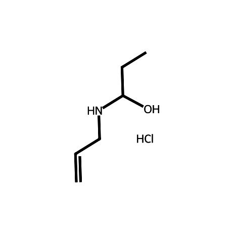 C=CCNC(O)CC.Cl